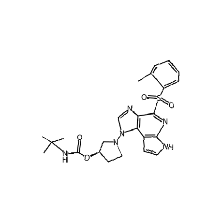 Cc1ccccc1S(=O)(=O)c1nc2[nH]ccc2c2c1ncn2N1CC[C@@H](OC(=O)NC(C)(C)C)C1